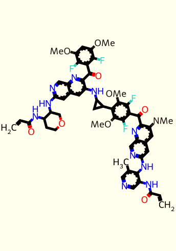 C=CC(=O)Nc1cncc(C)c1Nc1cc2cc(NC)c(C(=O)c3c(F)c(OC)c(C4CC4Nc4cc5cc(NC6COCCC6NC(=O)C=C)ncc5nc4C(=O)c4c(F)c(OC)cc(OC)c4F)c(OC)c3F)nc2cn1